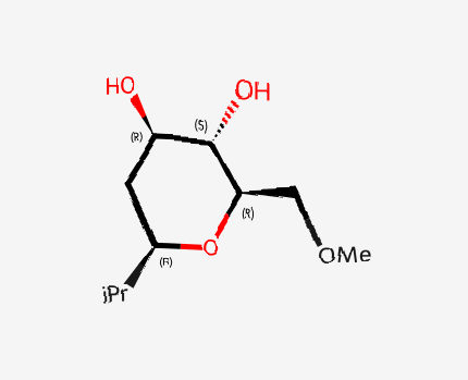 COC[C@H]1O[C@@H](C(C)C)C[C@@H](O)[C@@H]1O